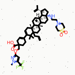 C=CCC12CC[C@]3(C)C(CC[C@@H]4C5[C@H](C(=C)C)CC[C@]5(NCCN5CCS(=O)(=O)CC5)CC[C@]43C=C)[C@@]1(C)CC=C(C1=CCC(COc3cc(C(F)(F)F)n(C)n3)(C(=O)O)CC1)C2(C)C